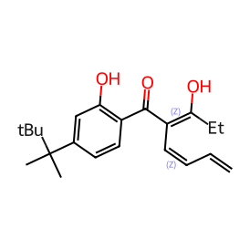 C=C/C=C\C(C(=O)c1ccc(C(C)(C)C(C)(C)C)cc1O)=C(\O)CC